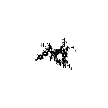 Cc1ccc(-c2ccc(C(=O)N[C@@H](CCCN)C(=O)N(C)[C@@H]3C(=O)N[C@@H](C)C(=O)N[C@H](C(=O)NN)Cc4ccc(OCCN)c(c4)-c4cc3ccc4OCCN)cc2)cc1